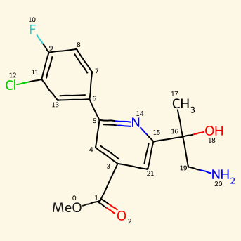 COC(=O)c1cc(-c2ccc(F)c(Cl)c2)nc(C(C)(O)CN)c1